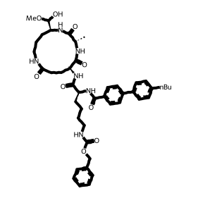 CCCCc1ccc(-c2ccc(C(=O)N[C@@H](CCCCNC(=O)OCc3ccccc3)C(=O)N[C@H]3CCC(=O)NCCC[C@@H](C(O)OC)NC(=O)[C@H](C)NC3=O)cc2)cc1